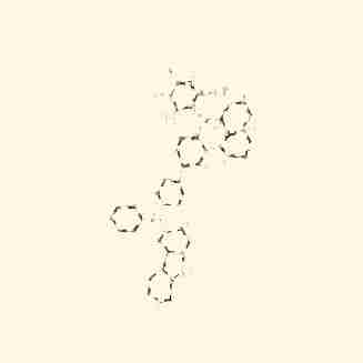 [2H]c1c([2H])c([2H])c(N2c3ccc(-c4ccc(N(c5ccccc5)c5ccc6oc7ccccc7c6c5)cc4)cc3-c3cccc4cccc2c34)c([2H])c1[2H]